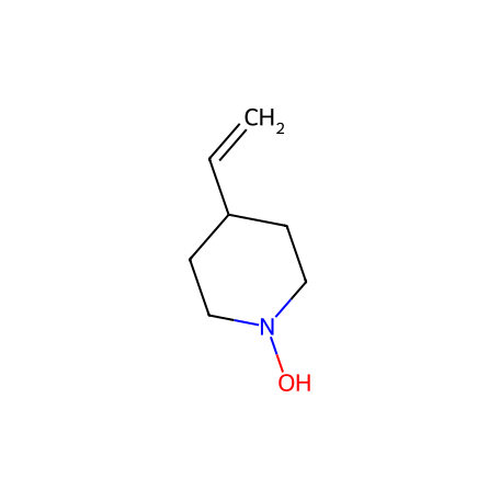 C=CC1CCN(O)CC1